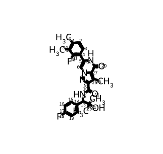 Cc1ccc(-c2cn3nc(C(=O)NC(c4ccc(F)cc4)C(C)(C)O)c(C)c3c(=O)[nH]2)c(F)c1C